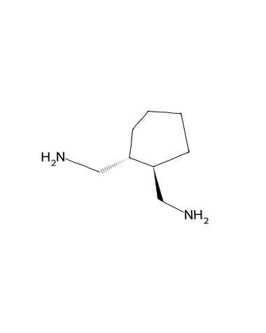 NC[C@@H]1CCCC[C@H]1CN